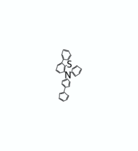 c1ccc(-c2ccc(N(c3ccccc3)c3cccc4c3sc3ccccc34)cc2)cc1